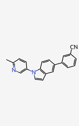 Cc1ccc(-n2ccc3cc(-c4cccc(C#N)c4)ccc32)cn1